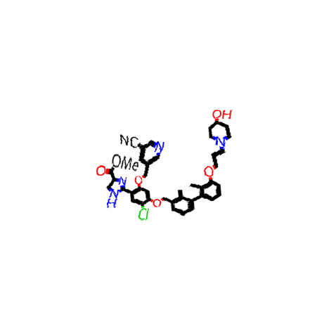 COC(=O)C1CNC(c2cc(Cl)c(OCc3cccc(-c4cccc(OCCCN5CCC(O)CC5)c4C)c3C)cc2OCc2cncc(C#N)c2)=N1